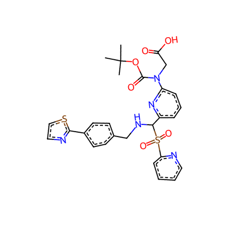 CC(C)(C)OC(=O)N(CC(=O)O)c1cccc(C(NCc2ccc(-c3nccs3)cc2)S(=O)(=O)c2ccccn2)n1